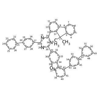 CC1(C)c2ccccc2-c2cccc(-c3nc(-c4ccc(-c5ccccc5)cc4)nc(-c4ccc5c(c4)oc4cccc(-c6ccc(-c7ccccc7)cc6)c45)n3)c21